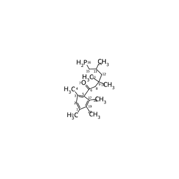 Cc1cc(C)c(C(=O)CC(C)(C)CC(C)CP)c(C)c1C